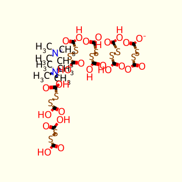 C[N+](C)(C)C.C[N+](C)(C)C.O=C(O)SSC(=O)O.O=C(O)SSC(=O)O.O=C(O)SSC(=O)O.O=C(O)SSC(=O)O.O=C(O)SSC(=O)O.O=C([O-])SSC(=O)[O-]